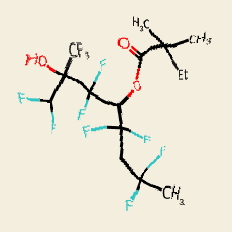 CCC(C)(C)C(=O)OC(C(F)(F)CC(C)(F)F)C(F)(F)C(O)(C(F)F)C(F)(F)F